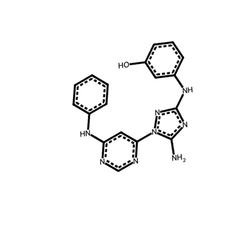 Nc1nc(Nc2cccc(O)c2)nn1-c1cc(Nc2ccccc2)ncn1